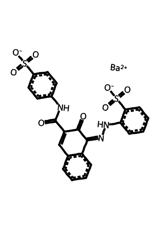 O=C(Nc1ccc(S(=O)(=O)[O-])cc1)C1=Cc2ccccc2/C(=N/Nc2ccccc2S(=O)(=O)[O-])C1=O.[Ba+2]